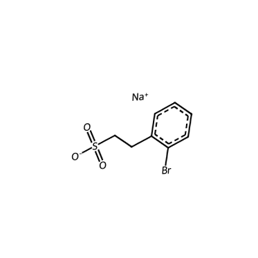 O=S(=O)([O-])CCc1ccccc1Br.[Na+]